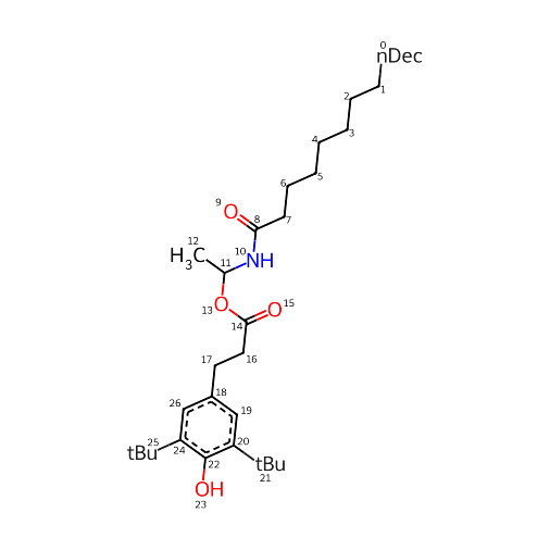 CCCCCCCCCCCCCCCCCC(=O)NC(C)OC(=O)CCc1cc(C(C)(C)C)c(O)c(C(C)(C)C)c1